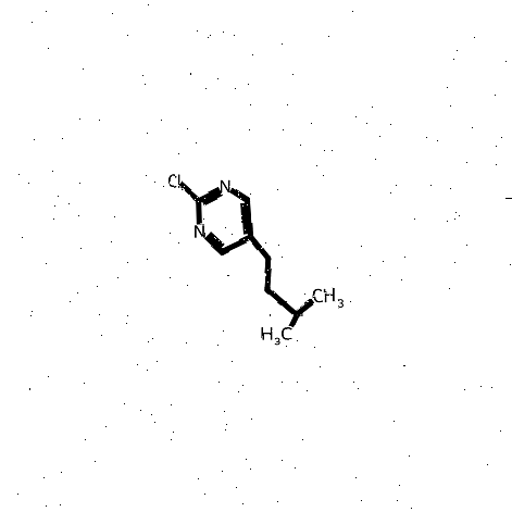 C[C](C)CCc1cnc(Cl)nc1